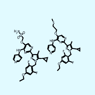 CCOc1cc(F)c(Cn2nc(-c3ncc(OCCSC)c(Nc4ccncc4)n3)c(C)c2C2CC2)c(F)c1.CCOc1cc(F)c(Cn2nc(-c3ncc(OCS(N)(=O)=O)c(Nc4ccncc4)n3)c(C)c2C2CC2)c(F)c1